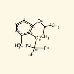 Cc1cccc(OC(C)C)c1OC(F)(F)F